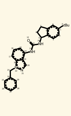 CC(C)(C)c1ccc2c(c1)CCC2NC(=O)Nc1cccc2c1cnn2Cc1ccccc1